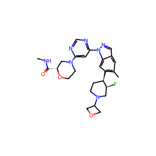 CNC(=O)[C@@H]1CN(c2cc(-n3ncc4cc(C)c([C@@H]5CCN(C6COC6)C[C@@H]5F)cc43)ncn2)CCO1